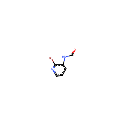 O=[C]Nc1cccnc1Br